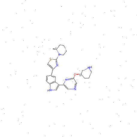 C[C@H]1CCCCN1c1nc(-c2ccc3[nH]cc(-c4cncc(O[C@@H]5CCCNC5)n4)c3c2)cs1